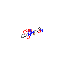 CN(C)C1(Oc2ccc3nc(CNC(=O)C4(CC(=O)O)Cc5ccccc5C4)sc3c2)CCC1